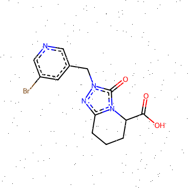 O=C(O)C1CCCc2nn(Cc3cncc(Br)c3)c(=O)n21